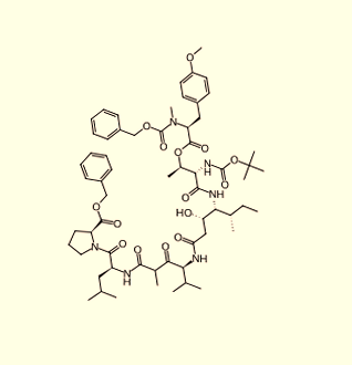 CC[C@H](C)[C@@H](NC(=O)[C@@H](NC(=O)OC(C)(C)C)[C@@H](C)OC(=O)[C@H](Cc1ccc(OC)cc1)N(C)C(=O)OCc1ccccc1)[C@@H](O)CC(=O)N[C@H](C(=O)C(C)C(=O)N[C@@H](CC(C)C)C(=O)N1CCC[C@H]1C(=O)OCc1ccccc1)C(C)C